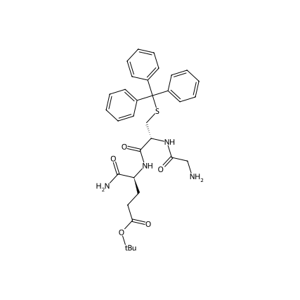 CC(C)(C)OC(=O)CC[C@H](NC(=O)[C@H](CSC(c1ccccc1)(c1ccccc1)c1ccccc1)NC(=O)CN)C(N)=O